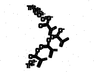 C=C(C)C(=O)[O-].C=C(C)C(=O)[O-].C=C(C)C(=O)[O-].C=C(C)C(=O)[O-].[O-2].[O-2].[O-2].[O-2].[Ti+4].[Ti+4].[Ti+4]